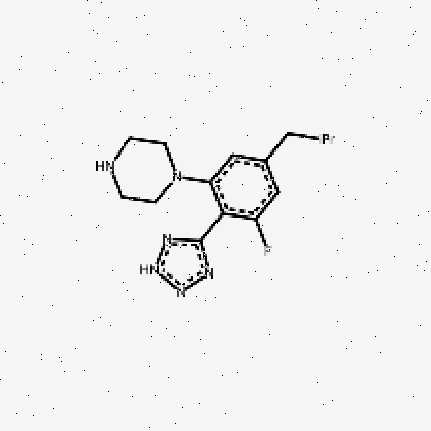 CC(C)Cc1cc(F)c(-c2nn[nH]n2)c(N2CCNCC2)c1